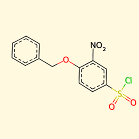 O=[N+]([O-])c1cc(S(=O)(=O)Cl)ccc1OCc1ccccc1